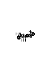 O=C(Nc1ccc(NC(=S)NC(CO)c2ccccc2)cc1)c1ccccc1F